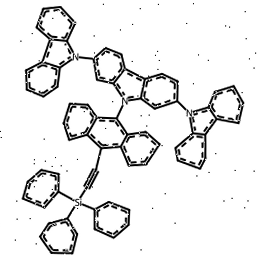 C(#C[Si](c1ccccc1)(c1ccccc1)c1ccccc1)c1c2ccccc2c(-n2c3cc(-n4c5ccccc5c5ccccc54)ccc3c3ccc(-n4c5ccccc5c5ccccc54)cc32)c2ccccc12